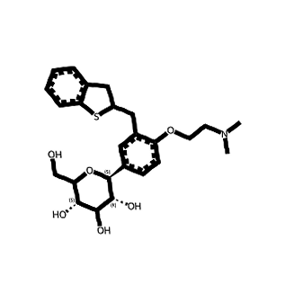 CN(C)CCOc1ccc([C@@H]2OC(CO)[C@@H](O)C(O)[C@H]2O)cc1CC1Cc2ccccc2S1